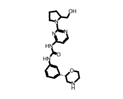 O=C(Nc1cccc([C@H]2CNCCO2)c1)Nc1ccnc(N2CCCC2CO)n1